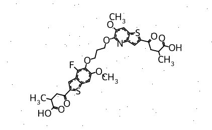 COc1cc2sc(C(=O)CC(C)C(=O)O)cc2nc1OCCCOc1c(OC)cc2sc(C(=O)CC(C)C(=O)O)cc2c1F